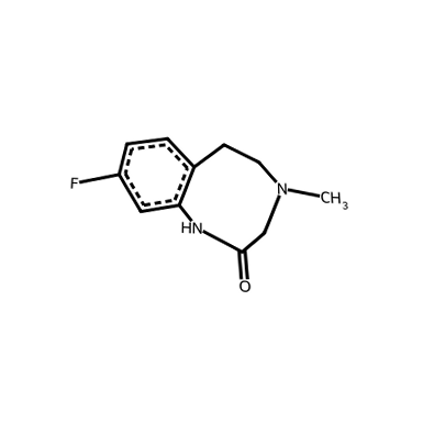 CN1CCc2ccc(F)cc2NC(=O)C1